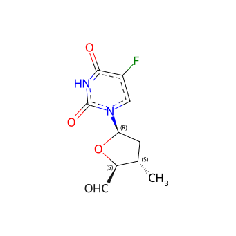 C[C@H]1C[C@H](n2cc(F)c(=O)[nH]c2=O)O[C@@H]1C=O